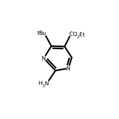 CCOC(=O)c1cnc(N)nc1C(C)(C)C